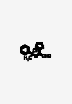 C[Si](C)(OC(C=O)c1cccs1)c1ccccc1